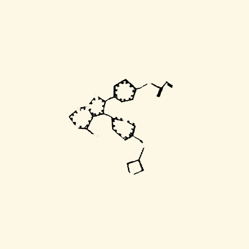 C=CC(=O)Nc1ccc(-c2nn3ncnc(N)c3c2-c2ccc(OC3COC3)cc2)cc1